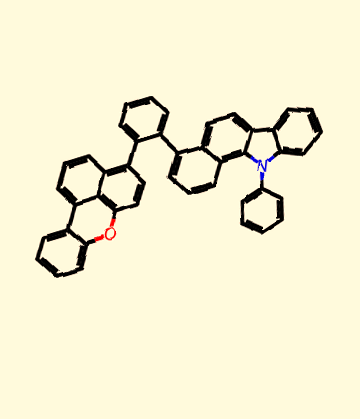 c1ccc(-n2c3ccccc3c3ccc4c(-c5ccccc5-c5ccc6c7c(cccc57)-c5ccccc5O6)cccc4c32)cc1